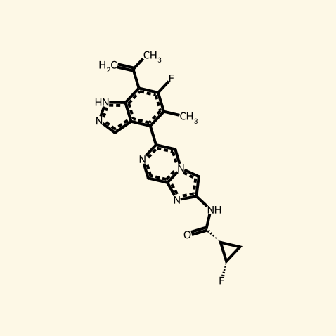 C=C(C)c1c(F)c(C)c(-c2cn3cc(NC(=O)[C@@H]4C[C@@H]4F)nc3cn2)c2cn[nH]c12